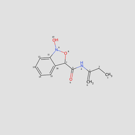 C=C(CC)NC(=O)C1ON(O)c2ccccc21